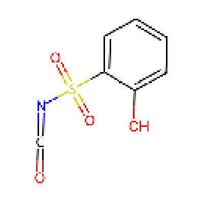 O=C=NS(=O)(=O)c1ccccc1O